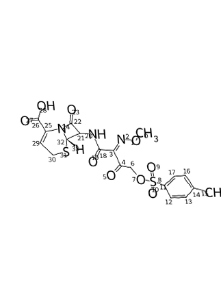 CON=C(C(=O)COS(=O)(=O)c1ccc(C)cc1)C(=O)NC1C(=O)N2C(C(=O)O)=CCS[C@@H]12